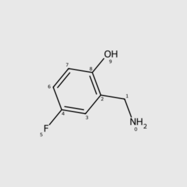 NCc1cc(F)ccc1O